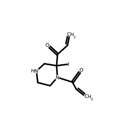 C=CC(=O)N1CCNCC1(I)C(=O)C=C